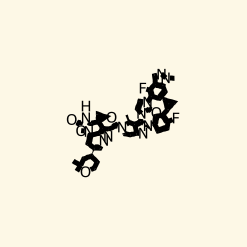 C[C@H]1c2c(nn(-c3ccc(F)c(C4CC4)c3)c2-n2ccn(-c3ccc4c(cnn4C)c3F)c2=O)CCN1C(=O)c1nn2cc([C@@H]3CCOC(C)(C)C3)ccc2c1C1(c2noc(=O)[nH]2)CC1